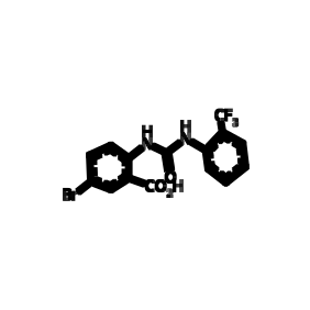 O=C(Nc1ccc(Br)cc1C(=O)O)Nc1ccccc1C(F)(F)F